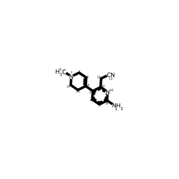 CN1CC=C(c2ccc(N)nc2CC#N)CC1